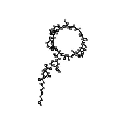 COCCOCCSCC(=O)OCC(C)(CO)C(=O)O[C@@H]1CC[C@@H](C[C@@H](C)[C@@H]2CC(=O)[C@H](C)/C=C(\C)[C@@H](O)[C@@H](OC)C(=O)[C@H](C)C[C@H](C)/C=C/C=C/C=C(\C)[C@@H](OC)C[C@@H]3CC[C@@H](C)[C@@](O)(O3)C(=O)C(=O)N3CCCC[C@H]3C(=O)O2)C[C@H]1OC